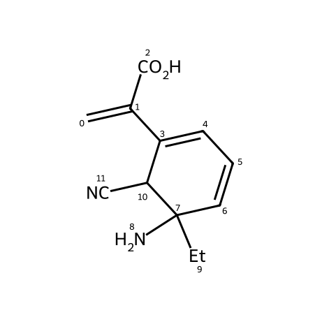 C=C(C(=O)O)C1=CC=CC(N)(CC)C1C#N